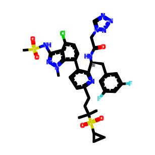 Cn1nc(NS(C)(=O)=O)c2c(Cl)ccc(-c3ccc(CCC(C)(C)S(=O)(=O)C4CC4)nc3[C@H](Cc3cc(F)cc(F)c3)NC(=O)Cn3cnnn3)c21